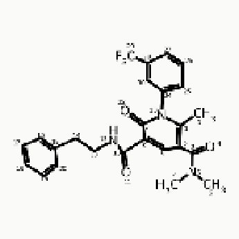 Cc1c(C(=O)N(C)C)cc(C(=O)NCCc2ccccc2)c(=O)n1-c1cccc(C(F)(F)F)c1